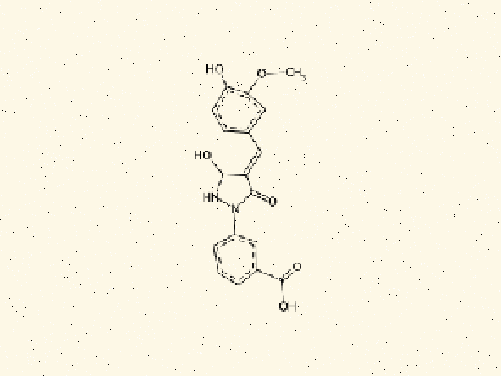 COc1cc(C=C2C(=O)N(c3cccc(C(=O)O)c3)NC2O)ccc1O